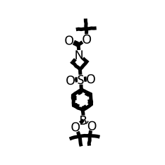 CC(C)(C)OC(=O)N1CC(S(=O)(=O)c2ccc(B3OC(C)(C)C(C)(C)O3)cc2)C1